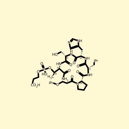 CC(C)C[C@H](NC(=O)[C@@H]1CCCN1C(=O)CCOC(C)C)C(=O)N[C@@H](Cc1cnc[nH]1)C(=O)N[C@@H](CO)C(=O)N[C@H](C(N)=O)[C@@H](C)OP(=O)(O)OCCC(=O)O